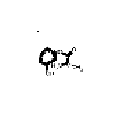 C[C@H](N)C(=O)O.Oc1ccccc1